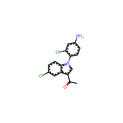 CC(=O)c1cn(-c2ccc(N)cc2Cl)c2ccc(Cl)cc12